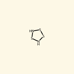 [nH]1s[nH]ss1